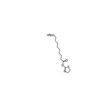 CCCCCCCCCCCCCCCCCC(=O)OC1=NCCS1